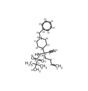 C=CCC[C@@](C#N)(NS(=O)(=O)C(C)(C)C)C1CCN(Cc2ccccc2)CC1